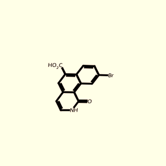 O=C(O)c1cc2cc[nH]c(=O)c2c2cc(Br)ccc12